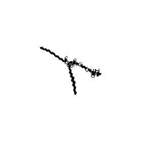 CCCCCCCCCCCCCC(=O)OC[C@H](COC(=O)NCCOCCOCCNC(=O)OC(C)C)OC(=O)CCCCCCCCCCCCC